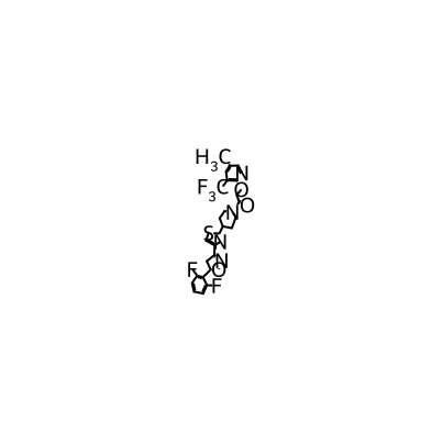 Cc1cnc(OCC(=O)N2CCC(c3nc(C4=NOC(c5c(F)cccc5F)C4)cs3)CC2)c(C(F)(F)F)c1